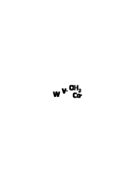 O.[Co].[V].[W]